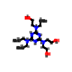 COCN(CCO)c1nc(N(CCO)CCO)nc(N(COC)COC)n1